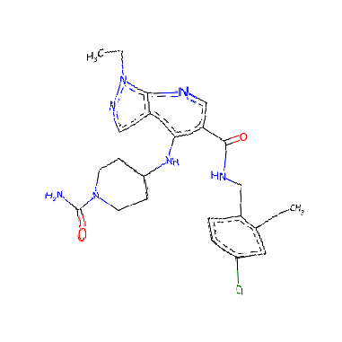 CCn1ncc2c(NC3CCN(C(N)=O)CC3)c(C(=O)NCc3ccc(Cl)cc3C)cnc21